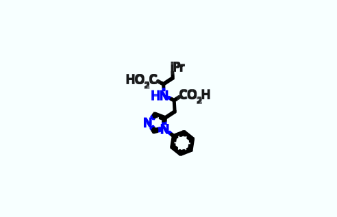 CC(C)CC(NC(Cc1cncn1-c1ccccc1)C(=O)O)C(=O)O